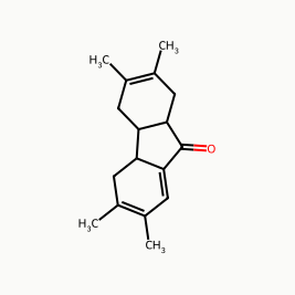 CC1=C(C)CC2C(=C1)C(=O)C1CC(C)=C(C)CC12